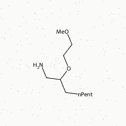 CCCCCCC(CN)OCCOC